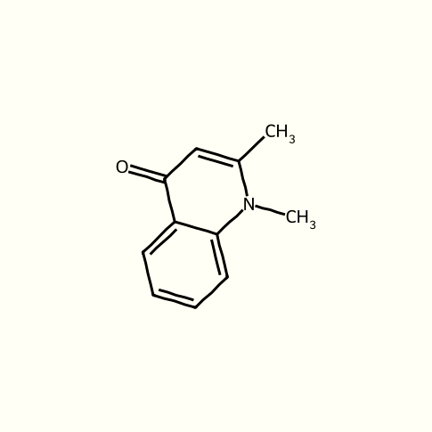 Cc1cc(=O)c2ccccc2n1C